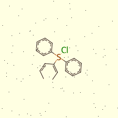 C/C=C\C(=C/C)S(Cl)(c1ccccc1)c1ccccc1